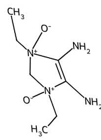 CC[N+]1([O-])C[N+]([O-])(CC)C(N)=C1N